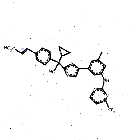 Cc1cc(Nc2nccc(C(F)(F)F)n2)cc(-c2cnc(C(O)(c3ccc(/C=C/C(=O)O)cc3)C3CC3)s2)c1